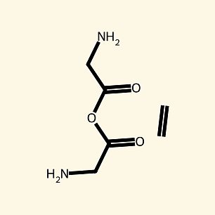 C=C.NCC(=O)OC(=O)CN